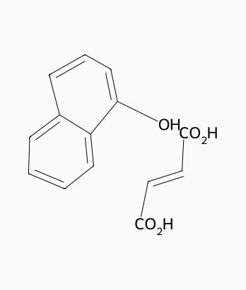 O=C(O)C=CC(=O)O.Oc1cccc2ccccc12